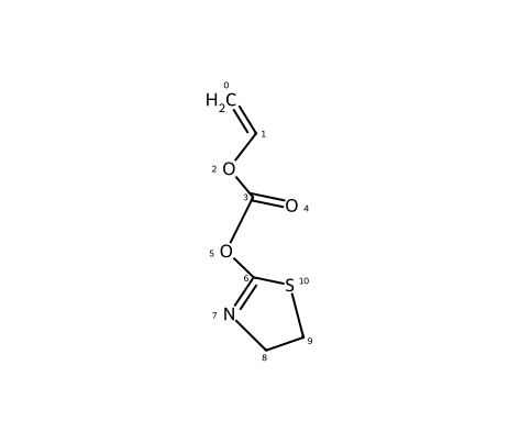 C=COC(=O)OC1=NCCS1